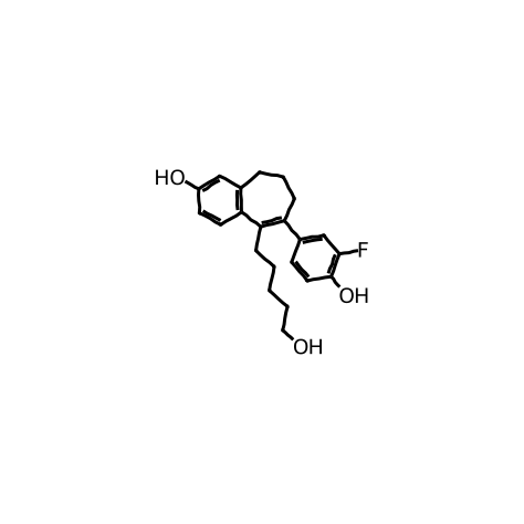 OCCCCCC1=C(c2ccc(O)c(F)c2)CCCc2cc(O)ccc21